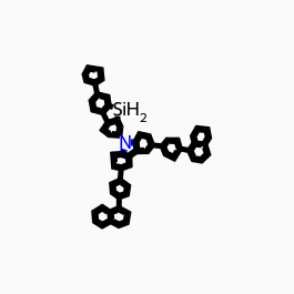 c1ccc(-c2ccc3c(c2)[SiH2]c2cc(-n4c5ccc(-c6ccc(-c7cccc8ccccc78)cc6)cc5c5cc(-c6ccc(-c7cccc8ccccc78)cc6)ccc54)ccc2-3)cc1